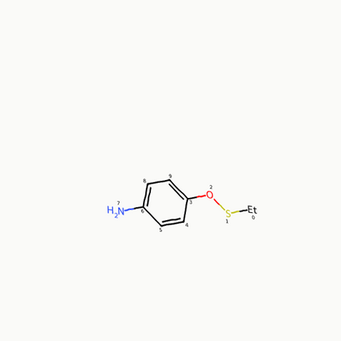 CCSOc1ccc(N)cc1